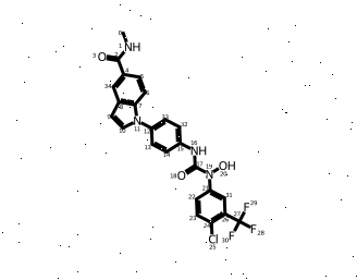 CNC(=O)c1ccc2c(ccn2-c2ccc(NC(=O)N(O)c3ccc(Cl)c(C(F)(F)F)c3)cc2)c1